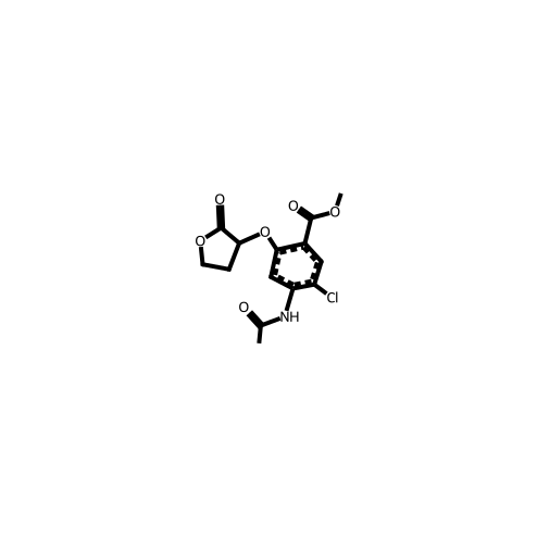 COC(=O)c1cc(Cl)c(NC(C)=O)cc1OC1CCOC1=O